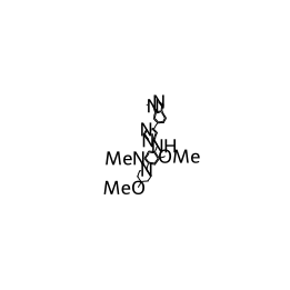 CNc1cc(Nc2cc(-c3ccc4cnn(C)c4c3)ncn2)c(OC)cc1N1CCC(OC)CC1